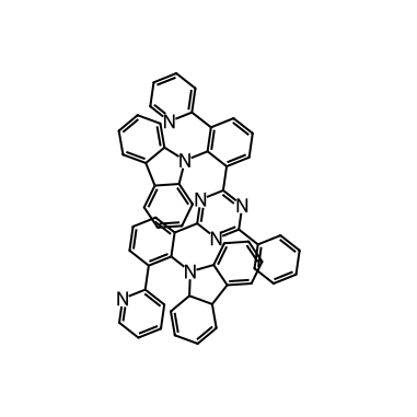 C1=CC2c3ccccc3N(c3c(-c4ccccn4)cccc3-c3nc(-c4ccccc4)nc(-c4cccc(-c5ccccn5)c4-n4c5ccccc5c5ccccc54)n3)C2C=C1